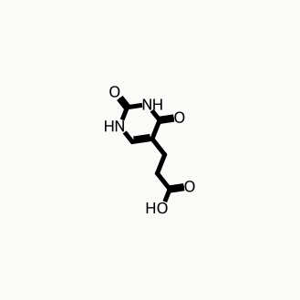 O=C(O)CCc1c[nH]c(=O)[nH]c1=O